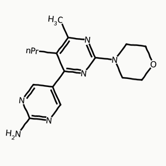 CCCc1c(C)nc(N2CCOCC2)nc1-c1cnc(N)nc1